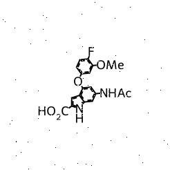 COc1cc(Oc2cc(NC(C)=O)cc3[nH]c(C(=O)O)cc23)ccc1F